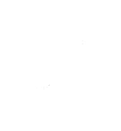 CCCCCCC[C@H]1CC[C@H](c2ccc3c(c2)CCC(CC)C3)CC1